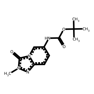 Cn1nc2ccc(NC(=O)OC(C)(C)C)cn2c1=O